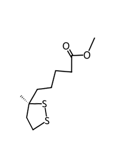 COC(=O)CCCC[C@]1(C)CCSS1